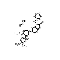 COc1ncc(-c2ccc3nc(N)n(Cc4cccnc4)c3c2)cc1S(=O)(=O)NC(C)(C)C.O=CO